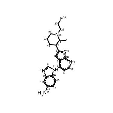 CC1C(c2cc3c([SH]4C=Nc5cc(N)ccc54)ccnc3s2)CCCN1CCF